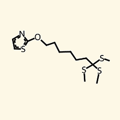 CSC(CCCCCCOc1nccs1)(SC)SC